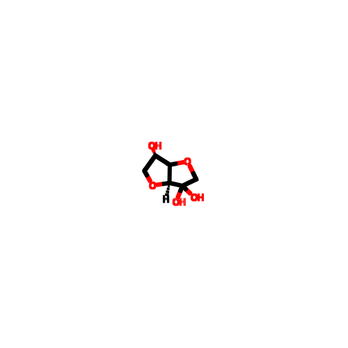 O[C@H]1CO[C@H]2[C]1OCC2(O)O